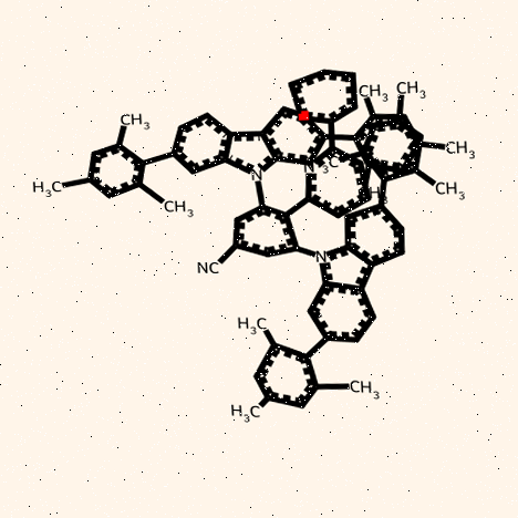 Cc1cc(C)c(-c2ccc3c4ccc(-c5c(C)cc(C)cc5C)cc4n(-c4cc(C#N)cc(-n5c6cc(-c7c(C)cc(C)cc7C)ccc6c6ccc(-c7c(C)cc(C)cc7C)cc65)c4-c4cccc(-c5ccccc5)n4)c3c2)c(C)c1